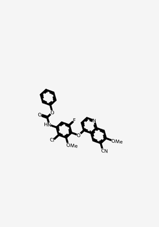 COc1cc2nccc(Oc3c(F)cc(NC(=O)Oc4ccccc4)c(Cl)c3OC)c2cc1C#N